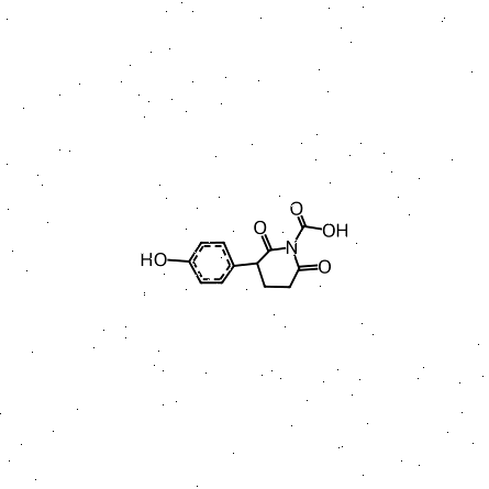 O=C(O)N1C(=O)CCC(c2ccc(O)cc2)C1=O